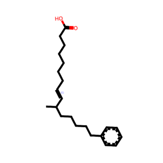 CC(/C=C/CCCCCCC(=O)O)CCCCCc1ccccc1